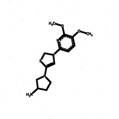 COc1ccc(N2C=C(N3CCC(N)C3)SC2)nc1OC